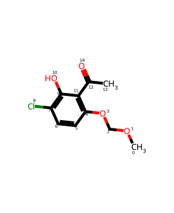 COCOc1ccc(Cl)c(O)c1C(C)=O